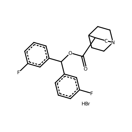 Br.O=C(OC(c1cccc(F)c1)c1cccc(F)c1)C1CN2CCC1CC2